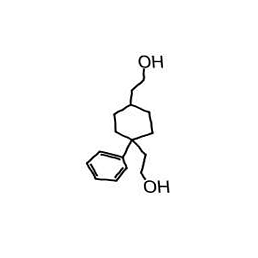 OCCC1CCC(CCO)(c2ccccc2)CC1